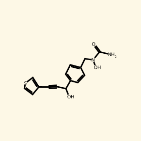 NC(=O)N(O)Cc1ccc(C(O)C#Cc2ccsc2)cc1